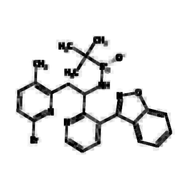 Cc1ccc(Br)nc1CC(N[S@@+]([O-])C(C)(C)C)c1ncccc1-c1noc2ccccc12